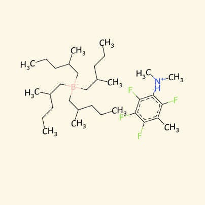 CCCC(C)C[B-](CC(C)CCC)(CC(C)CCC)CC(C)CCC.Cc1c(F)c(F)c(F)c([NH+](C)C)c1F